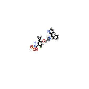 CS(=O)(=O)NC(=O)c1cc(C2CC2)c(OCC2CN([C@H](c3ccccc3)c3cccnc3)C2)cc1F